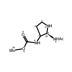 CC(=O)N[C@@H]1NCCC1NC(=O)OC(C)(C)C